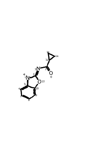 O=C(N=C1[N]c2ccccc2O1)C1CC1